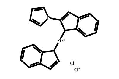 C1=C[CH]([Zr+2][CH]2C(p3cccc3)=Cc3ccccc32)c2ccccc21.[Cl-].[Cl-]